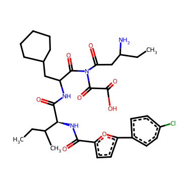 CCC(N)CC(=O)N(C(=O)C(=O)O)C(=O)C(CC1CCCCC1)NC(=O)[C@@H](NC(=O)c1ccc(-c2ccc(Cl)cc2)o1)C(C)CC